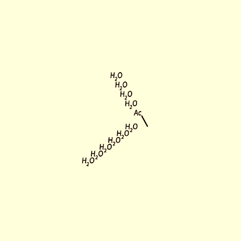 CC(C)=O.O.O.O.O.O.O.O.O.O.O